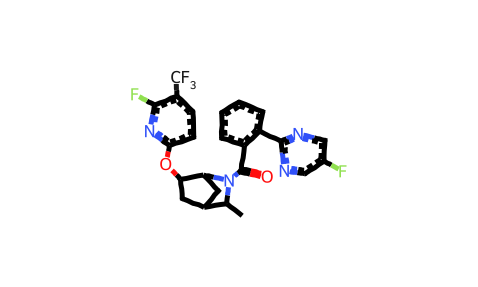 CC1C2CC(Oc3ccc(C(F)(F)F)c(F)n3)C(C2)N1C(=O)c1ccccc1-c1ncc(F)cn1